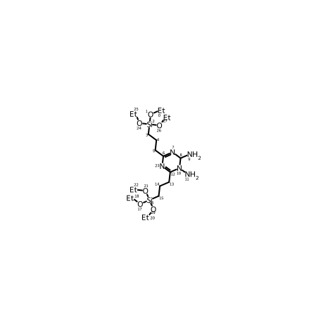 CCO[Si](CCCC1=NC(N)N(N)C(CCC[Si](OCC)(OCC)OCC)=N1)(OCC)OCC